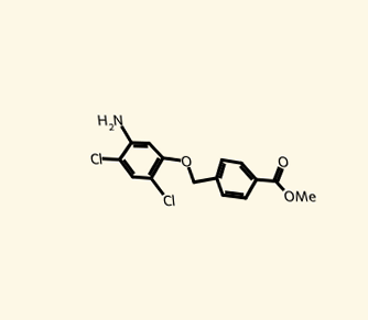 COC(=O)c1ccc(COc2cc(N)c(Cl)cc2Cl)cc1